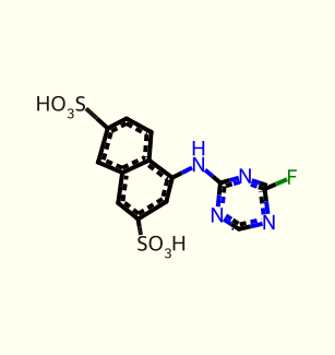 O=S(=O)(O)c1ccc2c(Nc3n[c]nc(F)n3)cc(S(=O)(=O)O)cc2c1